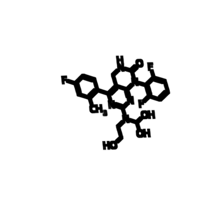 Cc1cc(F)ccc1-c1nc(N(CCO)C(O)O)nc2c1CNC(=O)N2c1c(F)cccc1F